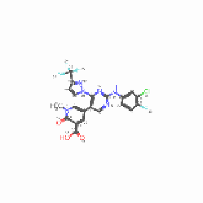 Cn1cc(-c2cnc(Nc3ccc(F)c(Cl)c3)nc2-n2ccc(C(F)(F)F)n2)cc(C(=O)O)c1=O